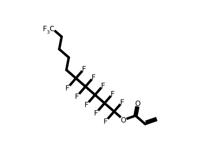 C=CC(=O)OC(F)(F)C(F)(F)C(F)(F)C(F)(F)C(F)(F)CCCCC(F)(F)F